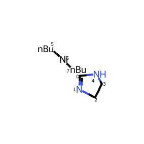 C1=NCCN1.CCC[CH2][Ni][CH2]CCC